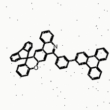 C1=c2c(-c3cccc(-c4ccc5c6ccccc6c6ccccc6c5c4)c3)nc3ccccc3c2=CC2C1Oc1ccccc1C21c2ccccc2-c2ccccc21